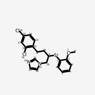 COc1ccccc1SC(CCc1ccc(Cl)cc1Cl)Cn1ccnc1